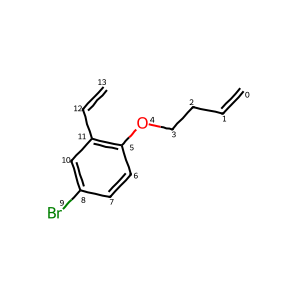 C=CCCOc1ccc(Br)cc1C=C